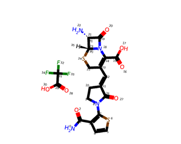 NC(=O)c1ccsc1N1CCC(=CC2=C(C(=O)O)N3C(=O)[C@@H](N)[C@H]3SC2)C1=O.O=C(O)C(F)(F)F